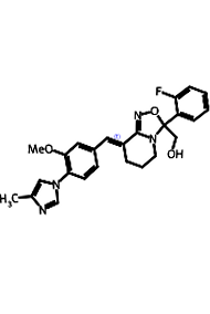 COc1cc(/C=C2\CCCN3C2=NOC3(CO)c2ccccc2F)ccc1-n1cnc(C)c1